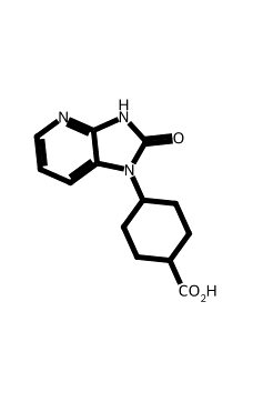 O=C(O)C1CCC(n2c(=O)[nH]c3ncccc32)CC1